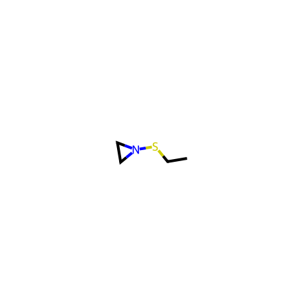 CCSN1CC1